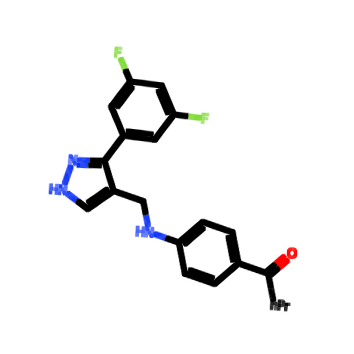 CCCC(=O)c1ccc(NCc2c[nH]nc2-c2cc(F)cc(F)c2)cc1